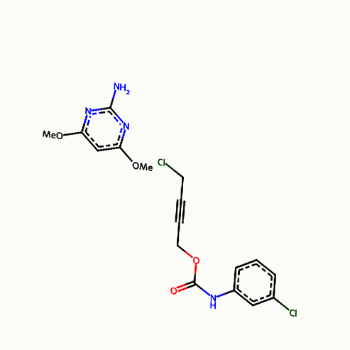 COc1cc(OC)nc(N)n1.O=C(Nc1cccc(Cl)c1)OCC#CCCl